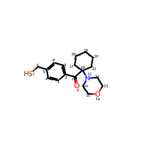 O=C(c1ccc(CS)cc1)C1(N2CCOCC2)CCCCC1